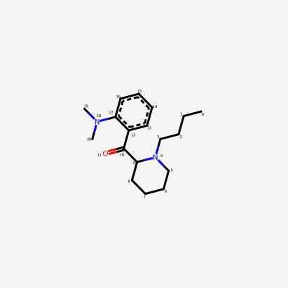 CCCCN1CCCCC1C(=O)c1ccccc1N(C)C